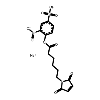 O=C(CCCCCN1C(=O)C=CC1=O)Oc1ccc(S(=O)(=O)O)cc1[N+](=O)[O-].[Na+]